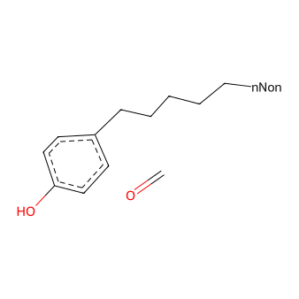 C=O.CCCCCCCCCCCCCCc1ccc(O)cc1